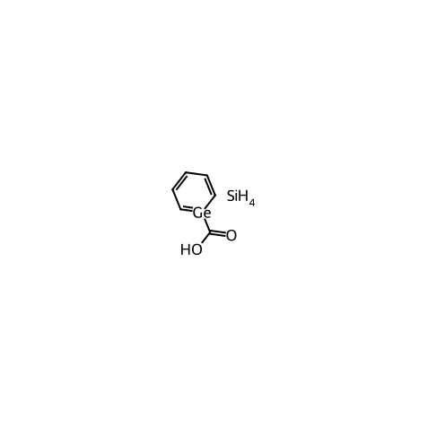 O=[C](O)[Ge]1=[CH]C=CC=[CH]1.[SiH4]